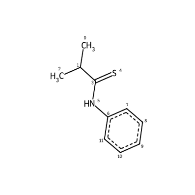 CC(C)C(=S)Nc1ccccc1